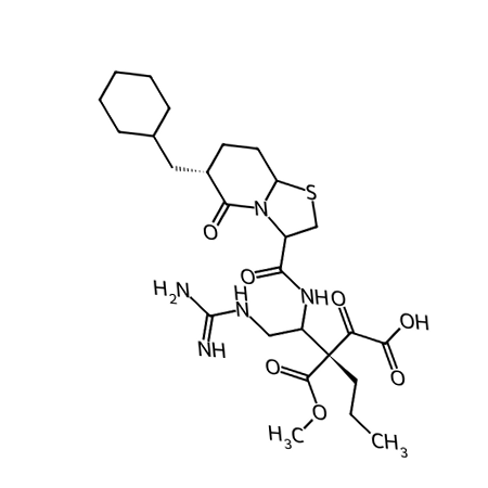 CCC[C@](C(=O)OC)(C(=O)C(=O)O)C(CNC(=N)N)NC(=O)C1CSC2CC[C@@H](CC3CCCCC3)C(=O)N21